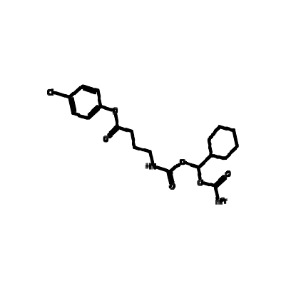 CCCC(=O)OC(OC(=O)NCCCC(=O)Oc1ccc(Cl)cc1)C1CCCCC1